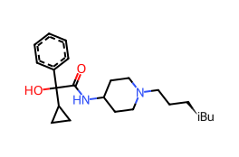 CC[C@H](C)CCCN1CCC(NC(=O)C(O)(c2ccccc2)C2CC2)CC1